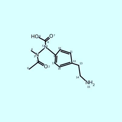 CC(=O)N(C)N(C(=O)O)c1ccc(CCN)cc1